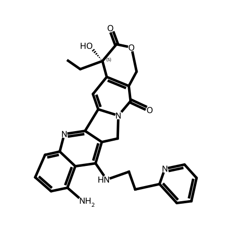 CC[C@@]1(O)C(=O)OCc2c1cc1n(c2=O)Cc2c-1nc1cccc(N)c1c2NCCc1ccccn1